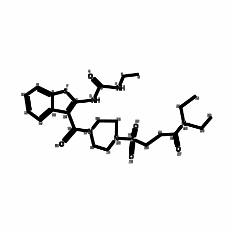 CCNC(=O)Nc1sc2ccccc2c1C(=O)N1CCN(S(=O)(=O)CCC(=O)N(CC)CC)CC1